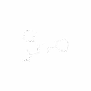 C=CC(=O)NC(CC(=O)c1ccccc1)c1ccccc1